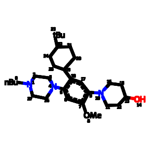 CCCCN1CCN(c2cc(OC)c(N3CCC(O)CC3)cc2C2CCC(C(C)(C)C)CC2)CC1